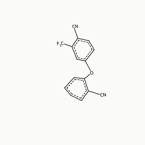 N#Cc1ccccc1Oc1ccc(C#N)c(C(F)(F)F)c1